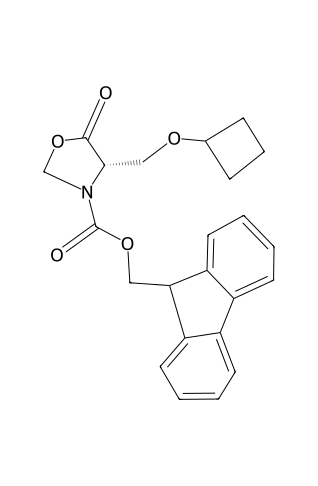 O=C1OCN(C(=O)OCC2c3ccccc3-c3ccccc32)[C@H]1COC1CCC1